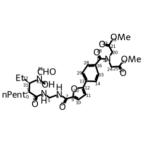 CCCCC[C@@H](C(=O)NCNC(=O)c1ccc(-c2ccc(C(=O)N(CC(=O)OC)CC(=O)OC)cc2)o1)[C@@H](CC)N(O)C=O